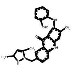 CC1=CC(C)NN1Cc1ccc2[nH]c3cc(C)c(Nc4ccccc4C=O)cc3c(=O)c2c1